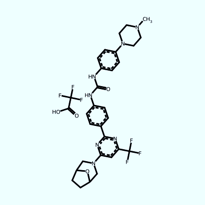 CN1CCN(c2ccc(NC(=O)Nc3ccc(-c4nc(N5CC6CCC(C5)O6)cc(C(F)(F)F)n4)cc3)cc2)CC1.O=C(O)C(F)(F)F